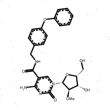 CO[C@@H]1[C@@H](O)[C@@H](CO)O[C@H]1n1cc(C(=O)NCc2ccc(Oc3ccccc3)cc2)c(N)nc1=O